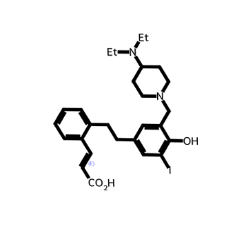 CCN(CC)C1CCN(Cc2cc(CCc3ccccc3/C=C/C(=O)O)cc(I)c2O)CC1